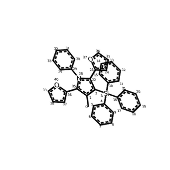 Cc1c([Si](c2ccccc2)(c2ccccc2)c2ccccc2)c(-c2ccco2)n(-c2ccccc2)c1-c1ccco1